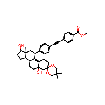 COC(=O)c1ccc(C#Cc2ccc(C3CC4(C)C(O)CCC4C4CCC5(O)CC6(CCC5=C34)OCC(C)(C)CO6)cc2)cc1